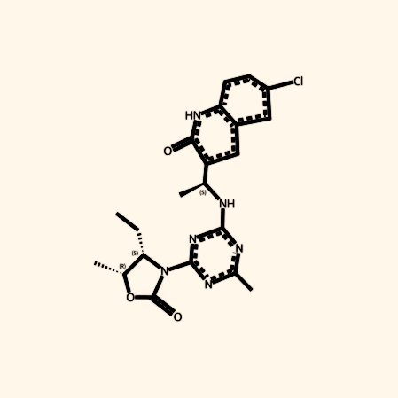 CC[C@H]1[C@@H](C)OC(=O)N1c1nc(C)nc(N[C@@H](C)c2cc3cc(Cl)ccc3[nH]c2=O)n1